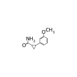 COc1cccc(C2CC2C(N)=O)c1